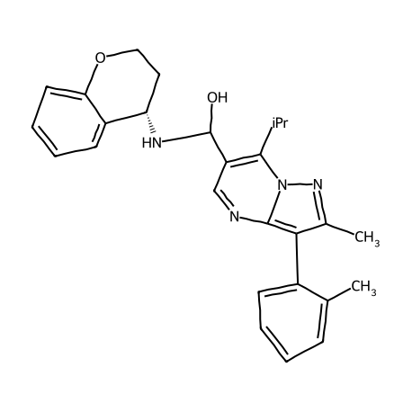 Cc1ccccc1-c1c(C)nn2c(C(C)C)c(C(O)N[C@H]3CCOc4ccccc43)cnc12